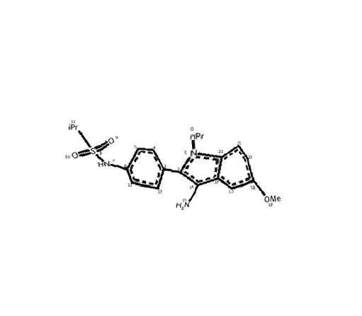 CCCn1c(-c2ccc(NS(=O)(=O)C(C)C)cc2)c(N)c2cc(OC)ccc21